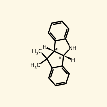 CC1(C)c2ccccc2[C@H]2Nc3ccccc3[C@H]21